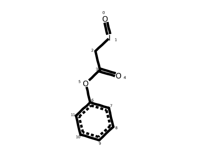 O=ICC(=O)Oc1ccccc1